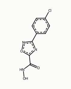 O=C(NO)c1nc(-c2ccc(Cl)cc2)no1